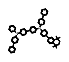 CC1(C)CCC(C)(C)c2cc(-c3ccc(N(c4ccc(-c5ccccc5)cc4)c4ccc(-c5ccc(N(c6ccccc6)c6ccc(-c7ccccc7)cc6)cc5)cc4)cc3)ccc21